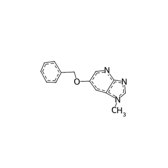 Cn1cnc2ncc(OCc3ccccc3)cc21